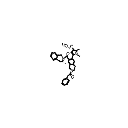 Cc1c(C(=O)O)cc(-c2cc3c(cc2C(=O)N2Cc4ccccc4C[C@H]2C)CN(C(=O)Cc2ccccc2)CC3)n1C